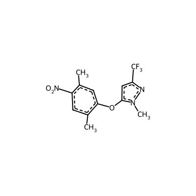 Cc1cc([N+](=O)[O-])c(C)cc1Oc1cc(C(F)(F)F)nn1C